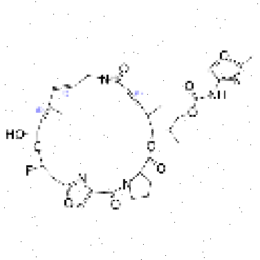 CC1=C\C(O)CC(F)Cc2nc(co2)C(=O)N2CCCC2C(=O)OC(C(C)COC(=O)Nc2coc(C)n2)C(C)/C=C/C(=O)NC\C=C\1